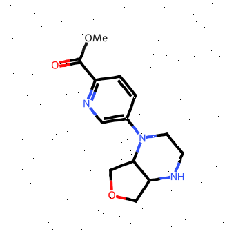 COC(=O)c1ccc(N2CCNC3COCC32)cn1